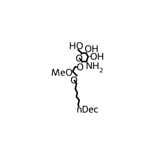 CCCCCCCCCCCCCCCCOCC(CO[C@@H]1OC(CO)[C@H](O)[C@H](O)C1N)OC